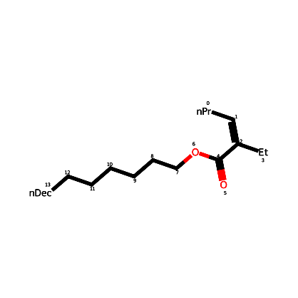 CCCC=C(CC)C(=O)OCCCCCCCCCCCCCCCC